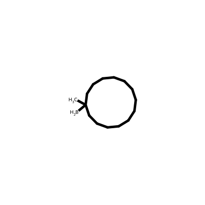 BC1(C)CCCCCCCCCCCCC1